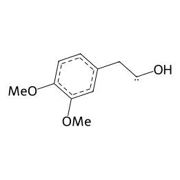 COc1ccc(C[C]O)cc1OC